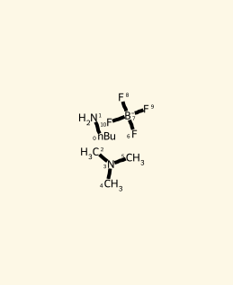 CCCCN.CN(C)C.F[B-](F)(F)F